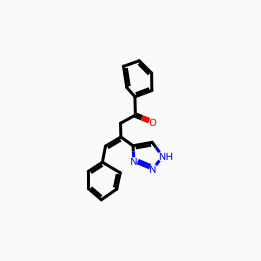 O=C(CC(=Cc1ccccc1)c1c[nH]nn1)c1ccccc1